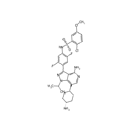 COc1ccc(Cl)c(S(=O)(=O)Nc2cc(F)c(-c3nn(C(C)C)c4c3c(N)ncc4[C@H]3CC[C@H](N)CC3)cc2F)c1